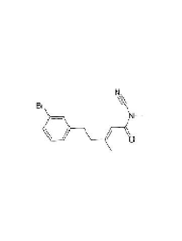 CC(=CC(=O)N(C)C#N)CCc1cccc(Br)c1